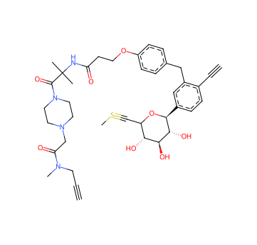 C#CCN(C)C(=O)CN1CCN(C(=O)C(C)(C)NC(=O)CCOc2ccc(Cc3cc([C@@H]4OC(C#SC)[C@@H](O)[C@H](O)[C@H]4O)ccc3C#C)cc2)CC1